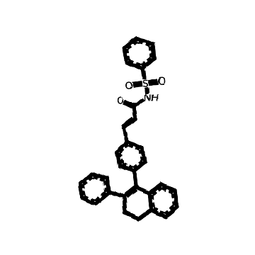 O=C(/C=C/c1ccc(C2=C(c3ccccc3)CCc3ccccc32)cc1)NS(=O)(=O)c1ccccc1